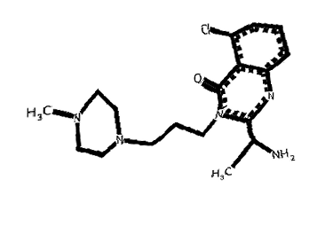 CC(N)c1nc2cccc(Cl)c2c(=O)n1CCCN1CCN(C)CC1